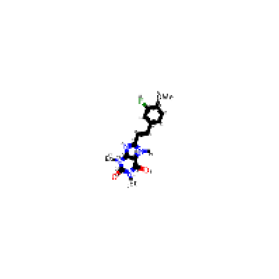 CCn1c(=O)c2c(nc(C=Cc3ccc(OC)c(F)c3)n2C)n(CC)c1=O